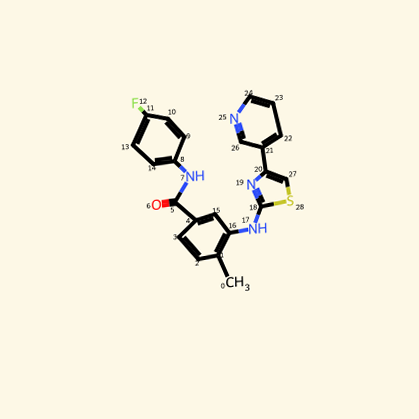 Cc1ccc(C(=O)Nc2ccc(F)cc2)cc1Nc1nc(-c2cccnc2)cs1